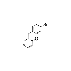 O=C1C=CSCC1Cc1ccc(Br)cc1